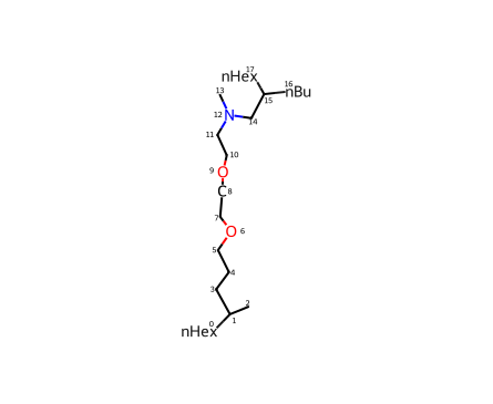 CCCCCCC(C)CCCOCCOCCN(C)CC(CCCC)CCCCCC